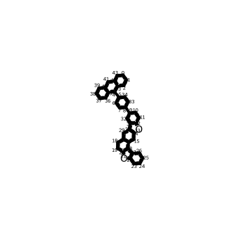 c1ccc2c(-c3ccc(-c4ccc5oc6cc7c(ccc8oc9ccccc9c87)cc6c5c4)cc3)c3ccccc3cc2c1